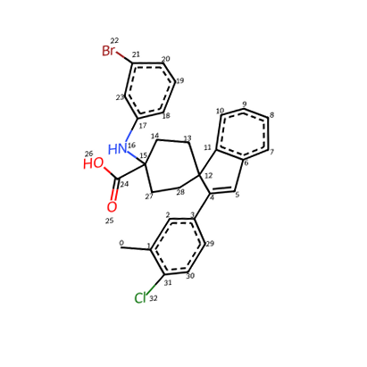 Cc1cc(C2=Cc3ccccc3C23CCC(Nc2cccc(Br)c2)(C(=O)O)CC3)ccc1Cl